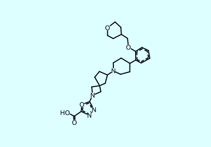 O=C(O)c1nnc(N2CC3(CCC(N4CCC(c5ccccc5OCC5CCOCC5)CC4)C3)C2)o1